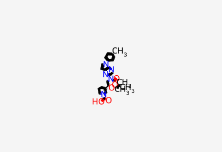 Cc1ccc(-n2ccc3nc(N(CC(=O)[C@@H]4CCCN(C(=O)O)C4)C(=O)OC(C)(C)C)cnc32)cc1